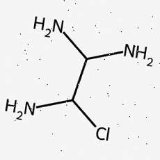 NC(N)C(N)Cl